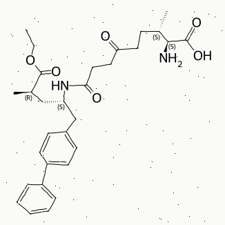 CCOC(=O)[C@H](C)C[C@@H](Cc1ccc(-c2ccccc2)cc1)NC(=O)CCC(=O)CC[C@H](C)[C@H](N)C(=O)O